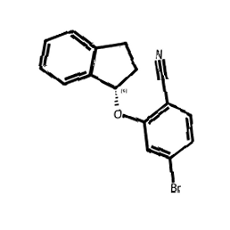 N#Cc1ccc(Br)cc1O[C@H]1CCc2ccccc21